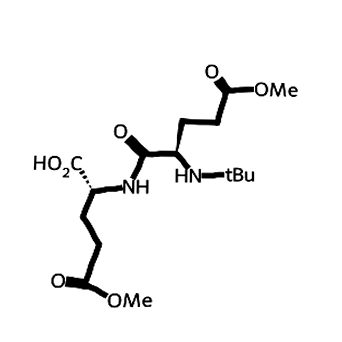 COC(=O)CC[C@@H](NC(=O)[C@@H](CCC(=O)OC)NC(C)(C)C)C(=O)O